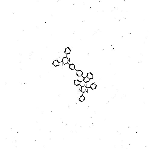 c1ccc(-c2cc(-c3ccccc3)nc(-c3ccc(-c4ccc(-c5c(-c6ccccc6-c6nc(-c7ccccc7)nc(-c7ccccc7)n6)ccc6ccccc56)cc4)cc3)n2)cc1